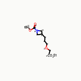 CCOC(=O)COCCCC1CN(C(=O)OC(C)(C)C)C1